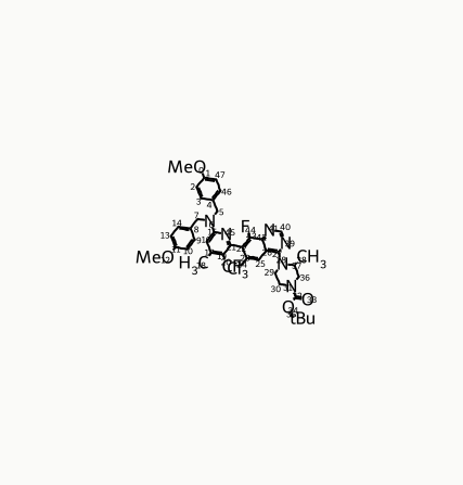 COc1ccc(CN(Cc2ccc(OC)cc2)c2cc(C)c(C(F)(F)F)c(-c3c(Cl)cc4c(N5CCN(C(=O)OC(C)(C)C)C[C@@H]5C)ncnc4c3F)n2)cc1